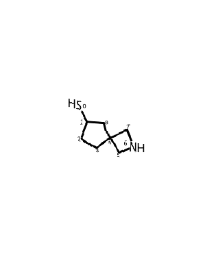 SC1CCC2(CNC2)C1